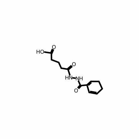 O=C(O)CCCC(=O)NNC(=O)C1=CCCC=C1